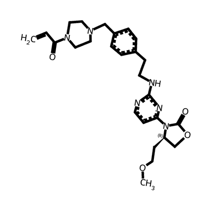 C=CC(=O)N1CCN(Cc2ccc(CCNc3nccc(N4C(=O)OC[C@H]4CCOC)n3)cc2)CC1